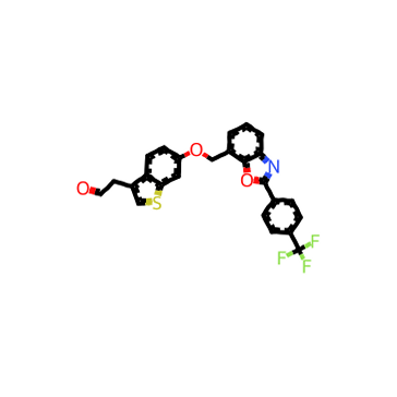 O=CCc1csc2cc(OCc3cccc4nc(-c5ccc(C(F)(F)F)cc5)oc34)ccc12